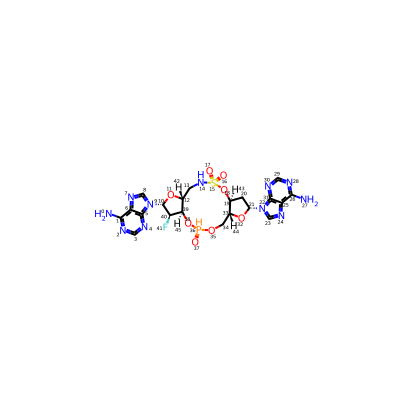 Nc1ncnc2c1ncn2[C@@H]1O[C@@H]2CNS(=O)(=O)O[C@H]3C[C@H](n4cnc5c(N)ncnc54)O[C@@H]3CO[PH](=O)O[C@H]2[C@H]1F